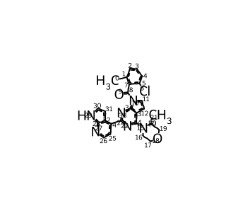 Cc1cccc(Cl)c1C(=O)n1ccc2c(N3CCOC[C@H]3C)nc(-c3ccnc4[nH]ccc34)nc21